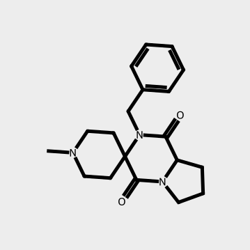 CN1CCC2(CC1)C(=O)N1CCCC1C(=O)N2Cc1ccccc1